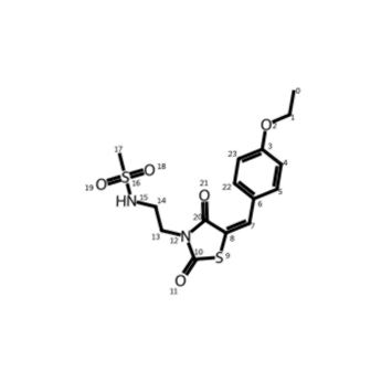 CCOc1ccc(C=C2SC(=O)N(CCNS(C)(=O)=O)C2=O)cc1